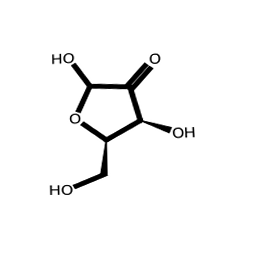 O=C1C(O)O[C@H](CO)[C@@H]1O